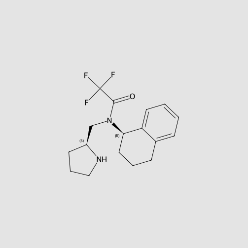 O=C(N(C[C@@H]1CCCN1)[C@@H]1CCCc2ccccc21)C(F)(F)F